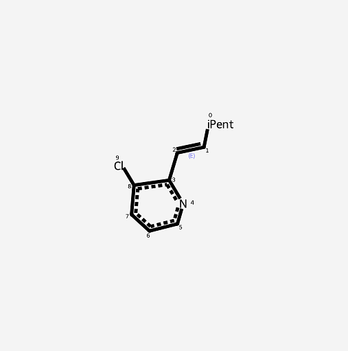 CCCC(C)/C=C/c1ncccc1Cl